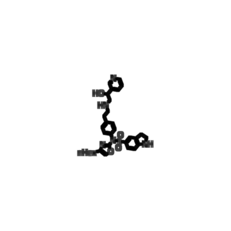 CCCCCCc1coc(N(c2ccc(CCNCC(O)c3cccnc3)cc2)S(=O)(=O)c2ccc3c(c2)CCN3)n1